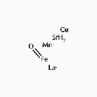 [Ce].[La].[Mn].[O]=[Fe].[SrH2]